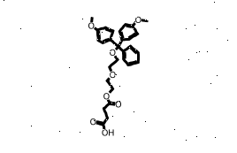 COc1ccc(C(OCCOCCOC(=O)CCC(=O)O)(c2ccccc2)c2ccc(OC)cc2)cc1